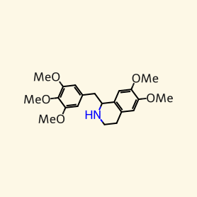 COc1cc2c(cc1OC)C(Cc1cc(OC)c(OC)c(OC)c1)NCC2